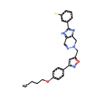 CCCCOc1ccc(-c2cc(CN3Cc4nc(-c5cccc(F)c5)[nH]c4C=N3)on2)cc1